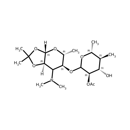 CC(=O)O[C@H]1C(O[C@H]2C(N(C)C)[C@H]3OC(C)(C)O[C@@H]3O[C@@H]2C)O[C@H](C)[C@@H](C)[C@@H]1O